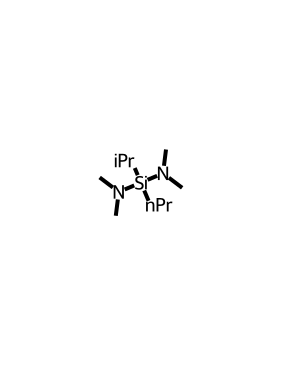 CCC[Si](C(C)C)(N(C)C)N(C)C